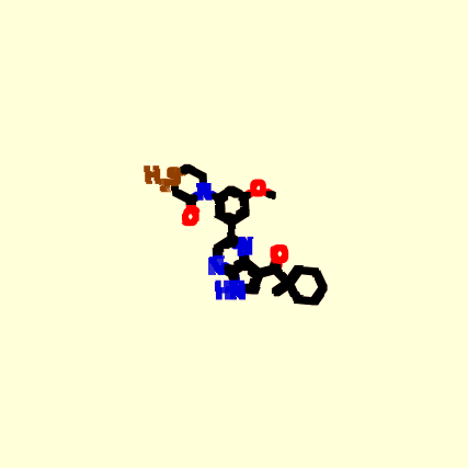 COc1cc(-c2cnc3[nH]cc(C(=O)C4(C)CCCCC4)c3n2)cc(N2CC[SH2]CC2=O)c1